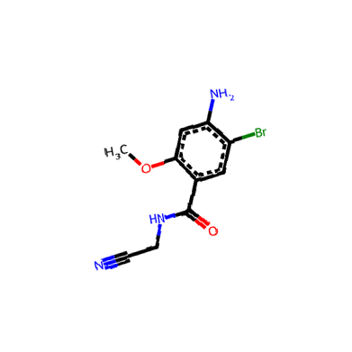 COc1cc(N)c(Br)cc1C(=O)NCC#N